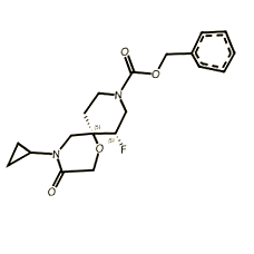 O=C(OCc1ccccc1)N1CC[C@]2(CN(C3CC3)C(=O)CO2)[C@@H](F)C1